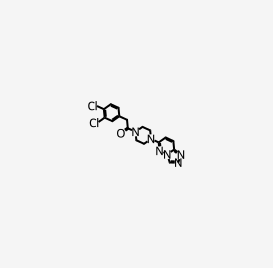 O=C(Cc1ccc(Cl)c(Cl)c1)N1CCN(c2ccc3nncn3n2)CC1